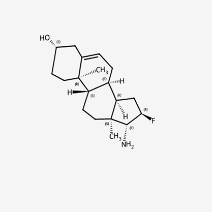 C[C@]12CC[C@H]3[C@@H](CC=C4C[C@@H](O)CC[C@@]43C)[C@H]1C[C@@H](F)[C@@H]2N